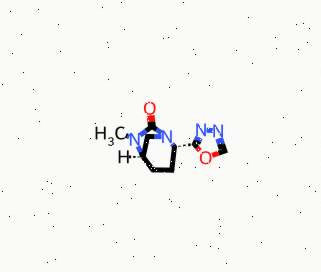 CN1C(=O)N2C[C@H]1CC[C@H]2c1nnco1